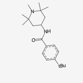 CN1C(C)(C)CC(NC(=O)c2ccc(C(C)(C)C)cc2)CC1(C)C